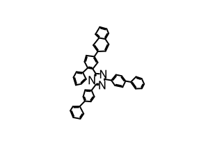 c1ccc(-c2ccc(-c3nc(-c4ccc(-c5ccccc5)cc4)nc(-c4cc(-c5ccc6ccccc6c5)ccc4-c4ccccc4)n3)cc2)cc1